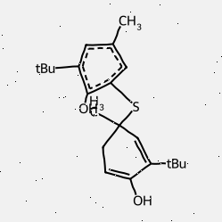 Cc1cc(SC2(C)C=C(C(C)(C)C)C(O)=CC2)c(O)c(C(C)(C)C)c1